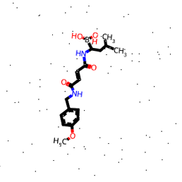 COc1ccc(CNC(=O)/C=C/C(=O)NC(CC(C)C)B(O)O)cc1